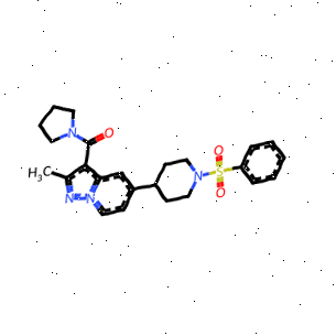 Cc1nn2ccc(C3CCN(S(=O)(=O)c4ccccc4)CC3)cc2c1C(=O)N1CCCC1